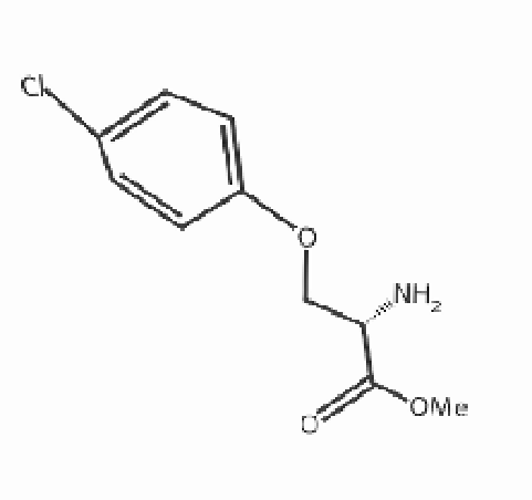 COC(=O)[C@@H](N)COc1ccc(Cl)cc1